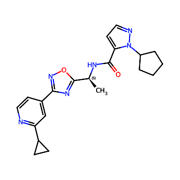 C[C@H](NC(=O)c1ccnn1C1CCCC1)c1nc(-c2ccnc(C3CC3)c2)no1